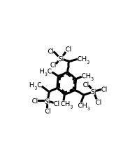 Cc1c(C(C)[Si](Cl)(Cl)Cl)c(C)c(C(C)[Si](Cl)(Cl)Cl)c(C)c1C(C)[Si](Cl)(Cl)Cl